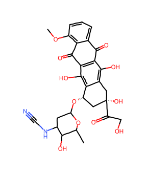 COc1cccc2c1C(=O)c1c(O)c3c(c(O)c1C2=O)C[C@@](O)(C(=O)CO)C[C@@H]3OC1CC(NC#N)C(O)C(C)O1